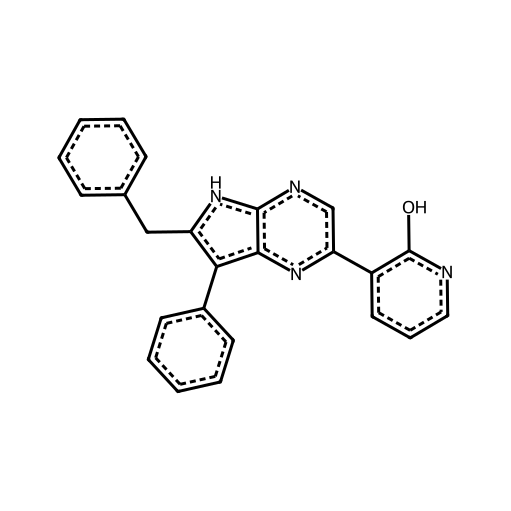 Oc1ncccc1-c1cnc2[nH]c(Cc3ccccc3)c(-c3ccccc3)c2n1